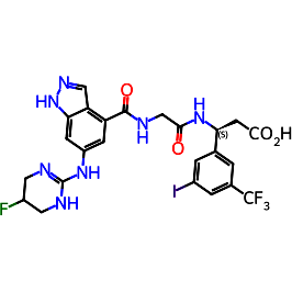 O=C(O)C[C@H](NC(=O)CNC(=O)c1cc(NC2=NCC(F)CN2)cc2[nH]ncc12)c1cc(I)cc(C(F)(F)F)c1